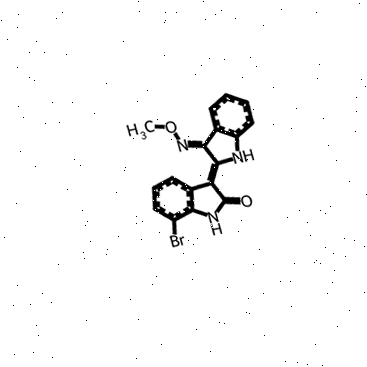 CO/N=C1/C(=C2/C(=O)Nc3c(Br)cccc32)Nc2ccccc21